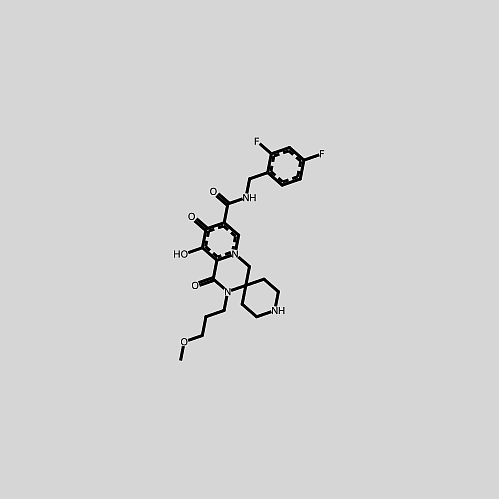 COCCCN1C(=O)c2c(O)c(=O)c(C(=O)NCc3ccc(F)cc3F)cn2CC12CCNCC2